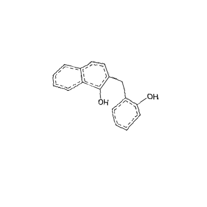 Oc1ccccc1Cc1ccc2ccccc2c1O